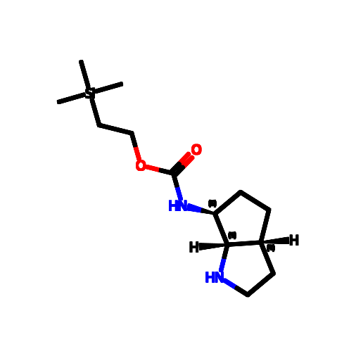 C[Si](C)(C)CCOC(=O)N[C@H]1CC[C@@H]2CCN[C@@H]21